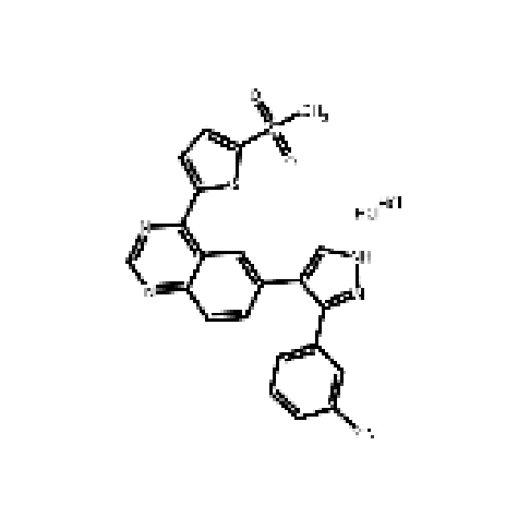 CS(=O)(=O)c1ccc(-c2ncnc3ccc(-c4c[nH]nc4-c4cccc(C#N)c4)cc23)s1.Cl.Cl